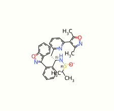 Cc1noc(C)c1-c1cccc(C[C@H](N[S@@+]([O-])C(C)C)c2ccccc2-c2noc3ccccc23)n1